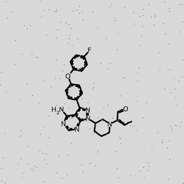 CC=C(C=O)N1CCCC(n2nc(-c3ccc(Oc4ccc(F)cc4)cc3)c3c(N)ncnc32)C1